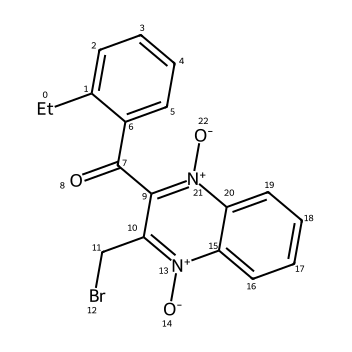 CCc1ccccc1C(=O)c1c(CBr)[n+]([O-])c2ccccc2[n+]1[O-]